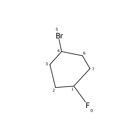 FC1CCC(Br)CC1